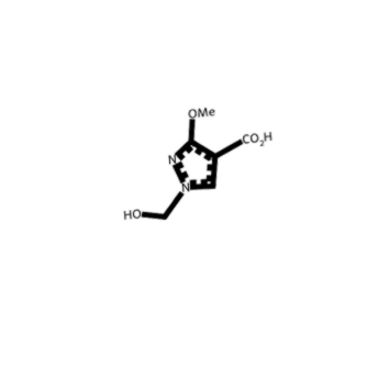 COc1nn(CO)cc1C(=O)O